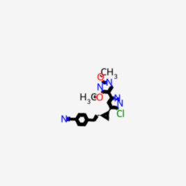 COc1ncc(-c2cc([C@H]3C[C@@H]3/C=C/c3ccc(C#N)cc3)c(Cl)nn2)c(OC)n1